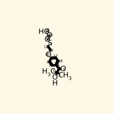 CC(C)(O)C(=O)c1ccc(OCCSOOO)cc1